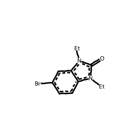 CCn1c(=O)n(CC)c2cc(Br)ccc21